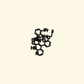 C#CCOc1cccc(-c2c(N(CCCC)C(=O)Nc3c(C(C)C)cccc3C(C)C)c(=O)[nH]c3ncccc23)c1